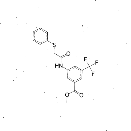 COC(=O)c1cc(NC(=O)CSc2ccccc2)cc(C(F)(F)F)c1